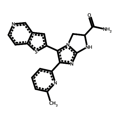 Cc1cccc(-c2nc3n(c2-c2cc4cnccc4s2)CC(C(N)=O)N3)n1